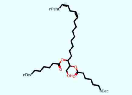 CCCCC/C=C\C/C=C\CCCCCCCCC(OC(=O)CCCCCCCCCCCCCCC)C(CO)OC(=O)CCCCCCCCCCCCCCC